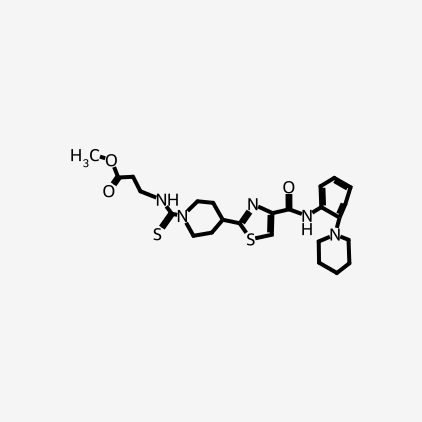 COC(=O)CCNC(=S)N1CCC(c2nc(C(=O)Nc3ccccc3N3CCCCC3)cs2)CC1